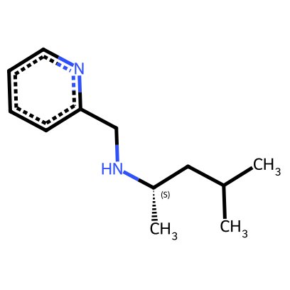 CC(C)C[C@H](C)NCc1ccccn1